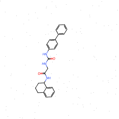 O=C(CNC(=O)Nc1ccc(-c2ccccc2)cc1)NC1CCCc2ccccc21